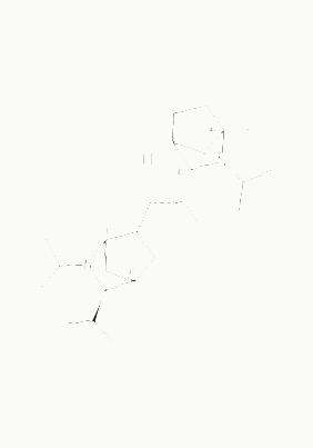 CC(CC1C[C@@H]2C[C@H]1N(C(C)C)[C@@H]2C(C)C)[C@@H]1[C@H]2CC[C@H](C2)N1C(C)C